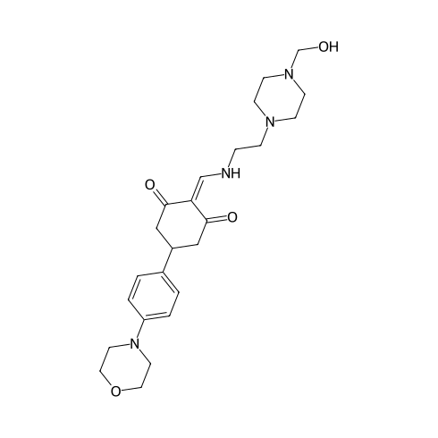 O=C1CC(c2ccc(N3CCOCC3)cc2)CC(=O)C1=CNCCN1CCN(CO)CC1